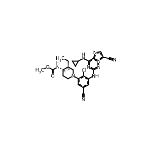 CC[C@H]1CN(c2cc(C#N)cc(Nc3nc(NC4CC4)c4ncc(C#N)n4n3)c2Cl)CC[C@@H]1NC(=O)OC